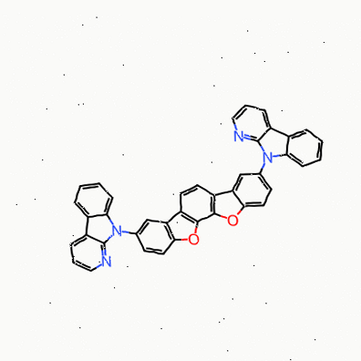 c1ccc2c(c1)c1cccnc1n2-c1ccc2oc3c(ccc4c5cc(-n6c7ccccc7c7cccnc76)ccc5oc43)c2c1